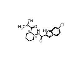 CN(C#N)C(=O)[C@@H]1CCCC[C@@H]1NC(=O)c1cc2ccc(Cl)cc2[nH]1